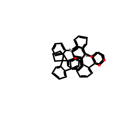 c1ccc(-c2ccccc2-c2ccccc2-c2ccccc2N(c2ccc3c(c2)C2(CCCC2)c2ccccc2-3)c2ccccc2-n2c3ccccc3c3ccccc32)cc1